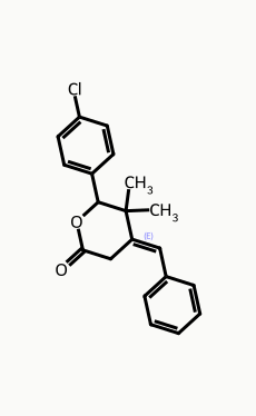 CC1(C)/C(=C/c2ccccc2)CC(=O)OC1c1ccc(Cl)cc1